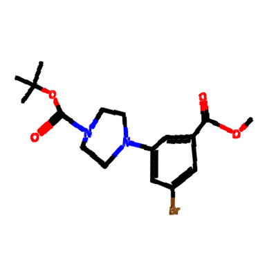 COC(=O)c1cc(Br)cc(N2CCN(C(=O)OC(C)(C)C)CC2)c1